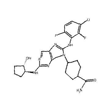 NC(=O)C1CCC(n2c(Nc3c(F)ccc(Cl)c3F)nc3cnc(N[C@H]4CCC[C@@H]4O)nc32)CC1